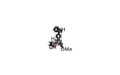 COCCOc1nc(C(=O)NC(C)C(C)(C)O)nc(N2CCC(c3n[nH]c4ncccc34)CC2)n1